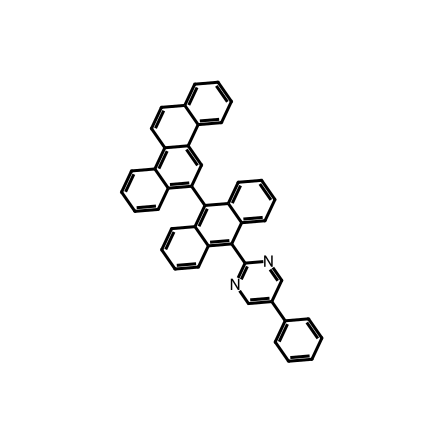 c1ccc(-c2cnc(-c3c4ccccc4c(-c4cc5c6ccccc6ccc5c5ccccc45)c4ccccc34)nc2)cc1